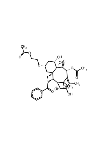 CC(=O)OCCO[C@@H]1C[C@H](O)[C@@]2(C)C(=O)[C@H](OC(C)=O)C3=C(C)[C@@H](O)C[C@@](O)([C@@H](OC(=O)c4ccccc4)[C@@H]2C1)C3(C)C